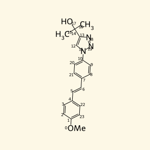 COc1ccc(C=Cc2ccc(-n3cc(C(C)(C)O)nn3)cc2)cc1